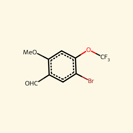 COc1cc(OC(F)(F)F)c(Br)cc1C=O